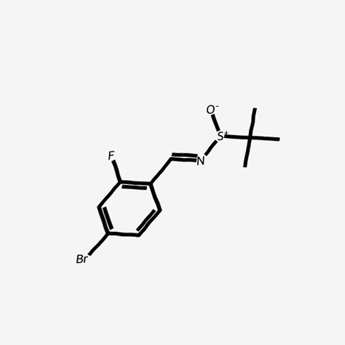 CC(C)(C)[S+]([O-])N=Cc1ccc(Br)cc1F